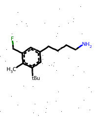 Cc1c(CF)cc(CCCCN)cc1C(C)(C)C